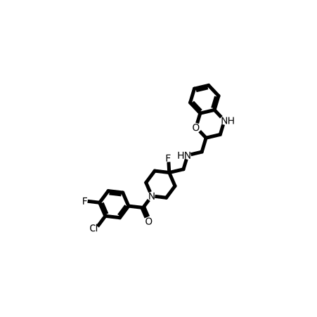 O=C(c1ccc(F)c(Cl)c1)N1CCC(F)(CNCC2CNc3ccccc3O2)CC1